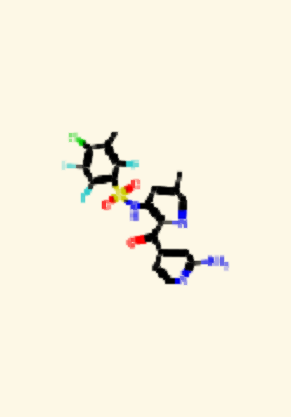 Cc1cnc(C(=O)c2ccnc(N)c2)c(NS(=O)(=O)c2c(F)c(C)c(Cl)c(F)c2F)c1